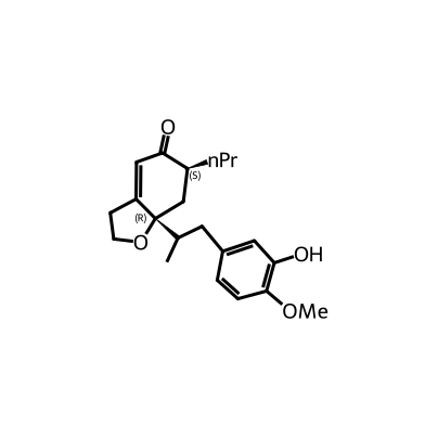 CCC[C@H]1C[C@]2(C(C)Cc3ccc(OC)c(O)c3)OCCC2=CC1=O